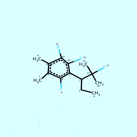 CCC(c1c(F)c(C)c(C)c(F)c1F)C(C)(C)F